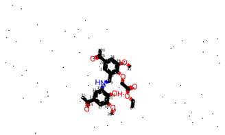 CCOC(=O)COc1c(CNc2cc(C(C)=O)cc(OC)c2O)cc(C(C)=O)cc1OC